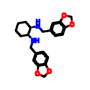 c1cc2c(cc1CN[C@H]1CCCC[C@H]1NCc1ccc3c(c1)OCO3)OCO2